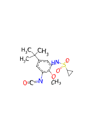 COc1c(N=C=O)cc(C(C)(C)C)cc1NS(=O)(=O)C1CC1